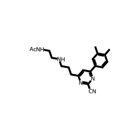 CC(=O)NCCNCCCc1cc(-c2ccc(C)c(C)c2)nc(C#N)n1